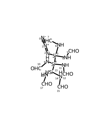 [N-]=[N+]=N[Si](NC=O)(NC=O)[Si](NC=O)(NC=O)[SiH](NC=O)NC=O